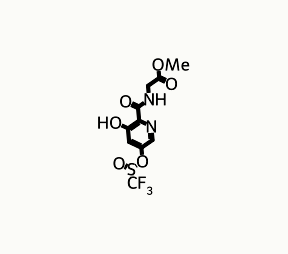 COC(=O)CNC(=O)c1ncc(OS(=O)C(F)(F)F)cc1O